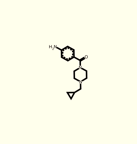 Nc1ccc(C(=O)N2CCN(CC3CC3)CC2)cc1